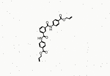 C=CCOC(=O)c1ccc(NC(=O)c2cccc(C(=O)Nc3ccc(C(=O)OCC=C)cc3)c2)cc1